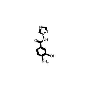 Nc1ccc(C(=O)Nn2cncn2)cc1O